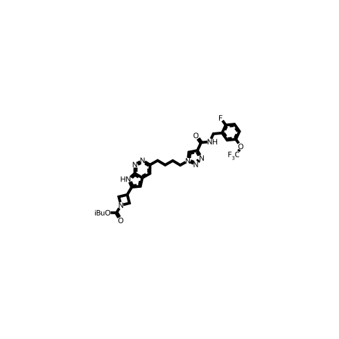 CC(C)COC(=O)N1CC(c2cc3cc(CCCCn4cc(C(=O)NCc5cc(OC(F)(F)F)ccc5F)nn4)nnc3[nH]2)C1